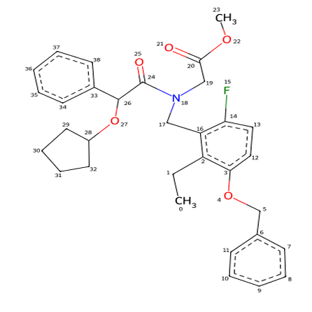 CCc1c(OCc2ccccc2)ccc(F)c1CN(CC(=O)OC)C(=O)C(OC1CCCC1)c1ccccc1